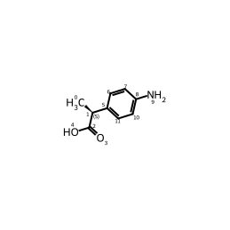 C[C@H](C(=O)O)c1ccc(N)cc1